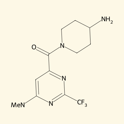 CNc1cc(C(=O)N2CCC(N)CC2)nc(C(F)(F)F)n1